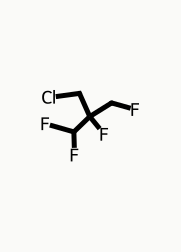 FCC(F)(CCl)C(F)F